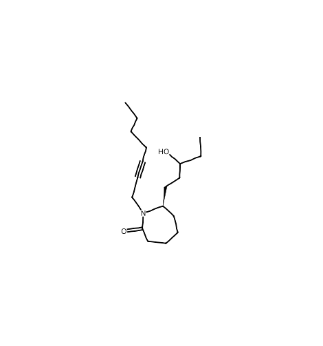 CCCCC#CCN1C(=O)CCCC[C@@H]1CCC(O)CC